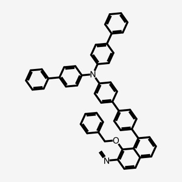 C=Nc1ccc2cccc(-c3ccc(-c4ccc(N(c5ccc(-c6ccccc6)cc5)c5ccc(-c6ccccc6)cc5)cc4)cc3)c2c1OCc1ccccc1